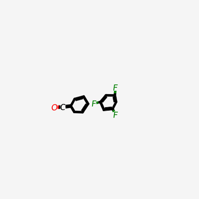 Fc1cc(F)cc(F)c1.O=C=C1C=CC=CC1